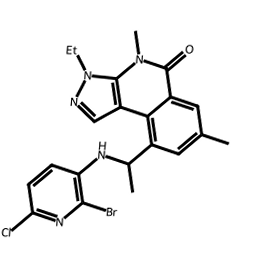 CCn1ncc2c3c(C(C)Nc4ccc(Cl)nc4Br)cc(C)cc3c(=O)n(C)c21